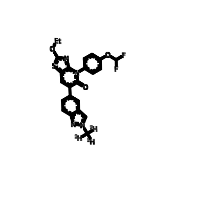 [2H]C([2H])([2H])n1cc2cc(-c3cc4sc(OCC)nc4n(-c4ccc(OC(F)F)cc4)c3=O)ccc2n1